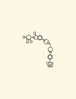 CC(C)(C)OC(=O)c1ccc(N2CCC(CN3CCN(c4ccc5c(c4)CN(C4CCC(=O)NC4=O)C5=O)CC3)CC2)cc1